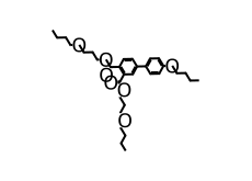 CCCCOCCCOC(=O)c1ccc(-c2ccc(OCCCC)cc2)cc1C(=O)OCCCOCCCC